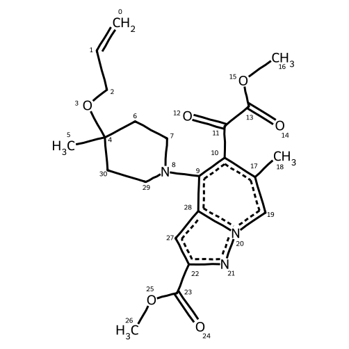 C=CCOC1(C)CCN(c2c(C(=O)C(=O)OC)c(C)cn3nc(C(=O)OC)cc23)CC1